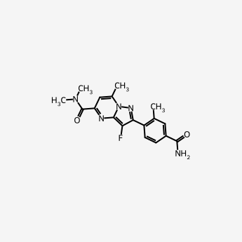 Cc1cc(C(N)=O)ccc1-c1nn2c(C)cc(C(=O)N(C)C)nc2c1F